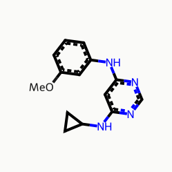 COc1cccc(Nc2cc(NC3CC3)ncn2)c1